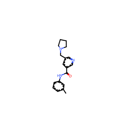 Cc1cccc(NC(=O)c2cncc(CN3CCCC3)c2)c1